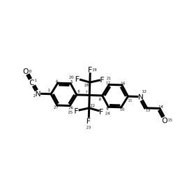 O=C=Nc1ccc(C(c2ccc(N=CC=O)cc2)(C(F)(F)F)C(F)(F)F)cc1